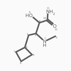 CNC(CC1CCC1)C(O)C(N)=O